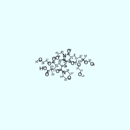 COCCOC(=O)C(CC(SC(=S)SC(CC(CC(C)(C)C(=O)O)C(=O)OCCOC)C(=O)N1CCOCC1)C(=O)N1CCOCC1)CC(C)(C)OC=O